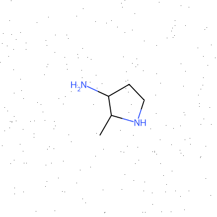 CC1NCCC1N